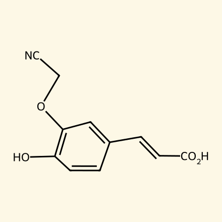 N#CCOc1cc(C=CC(=O)O)ccc1O